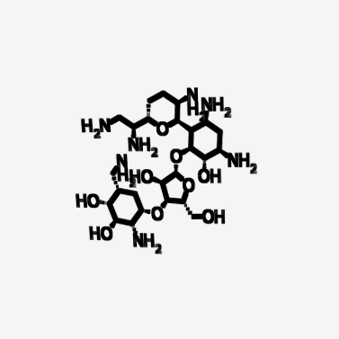 NC[C@@H]1C[C@H](O[C@H]2[C@@H](O)[C@H](O[C@H]3C([C@H]4O[C@H]([C@@H](N)CN)CC[C@H]4N)[C@@H](N)C[C@@H](N)[C@@H]3O)O[C@@H]2CO)[C@H](N)[C@@H](O)[C@@H]1O